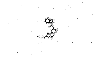 CC1O[C@@H](O[C@H](C)CCCCC(=O)O)[C@@H](O)C[C@H]1OC(=O)c1c[nH]c2ccccc12